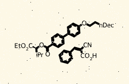 CCCCCCCCCCCCOc1ccc(-c2ccc(C(=O)O[C@H](C(=O)OCC)C(C)C)cc2)cc1.N#CC(=Cc1ccccc1)C(=O)O